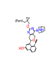 C#Cc1cccc2cc(O)cc(C3Cc4nc(OCC5(CC(C)CCC)CC5)nc(N5CC6CCC(C5)N6)c4CO3)c12